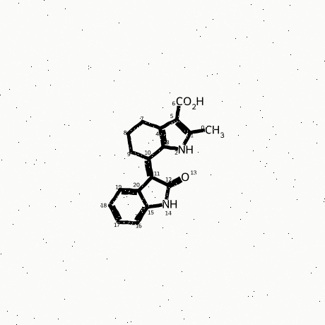 Cc1[nH]c2c(c1C(=O)O)CCC/C2=C1/C(=O)Nc2ccccc21